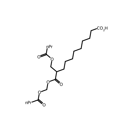 CCCC(=O)OCOC(=O)C(CCCCCCCCC(=O)O)COC(=O)CCC